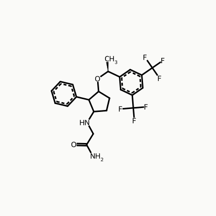 C[C@H](OC1CCC(NCC(N)=O)C1c1ccccc1)c1cc(C(F)(F)F)cc(C(F)(F)F)c1